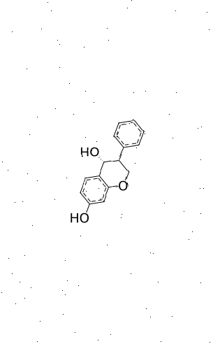 Oc1ccc2c(c1)OCC(c1ccccc1)[C@H]2O